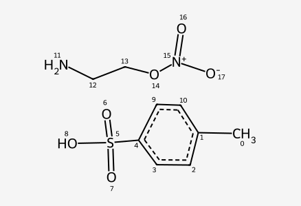 Cc1ccc(S(=O)(=O)O)cc1.NCCO[N+](=O)[O-]